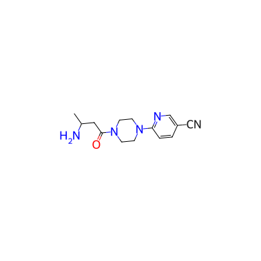 CC(N)CC(=O)N1CCN(c2ccc(C#N)cn2)CC1